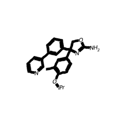 Cc1cc(C2(c3cccc(-c4cccnc4)c3)COC(N)=N2)ccc1OC(C)C